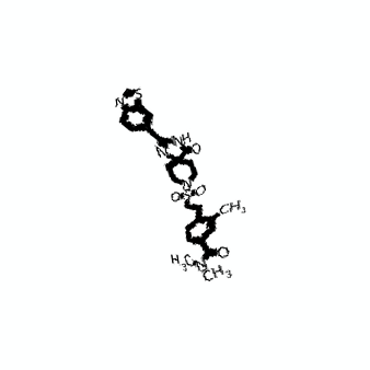 Cc1cc(C(=O)N(C)C)ccc1CCS(=O)(=O)N1CCC2(CC1)N=C(c1ccc3ncsc3c1)NC2=O